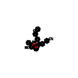 N#Cc1ccc(-c2ccc3c(c2)C(c2ccc(-c4ccc5oc6ccccc6c5c4)cc2-c2nc(-c4ccccc4)nc(-c4ccccc4)n2)c2cc(-c4ccc(C#N)cc4)ccc2-3)cc1